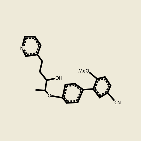 COc1ccc(C#N)cc1-c1ccc(OC(C)C(O)CCc2cccnc2)cc1